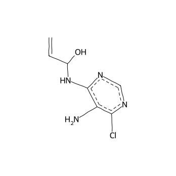 C=CC(O)Nc1ncnc(Cl)c1N